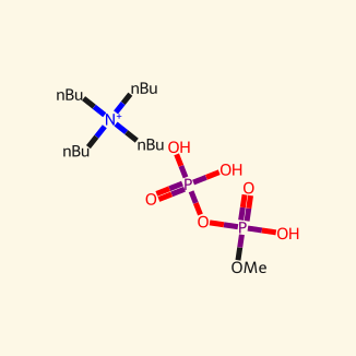 CCCC[N+](CCCC)(CCCC)CCCC.COP(=O)(O)OP(=O)(O)O